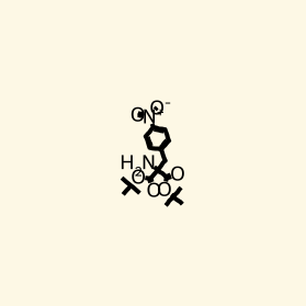 CC(C)(C)OC(=O)C(N)(Cc1ccc([N+](=O)[O-])cc1)C(=O)OC(C)(C)C